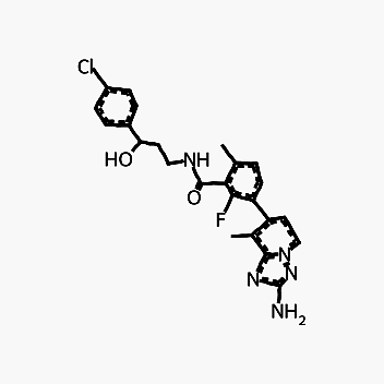 Cc1ccc(-c2ccn3nc(N)nc3c2C)c(F)c1C(=O)NCCC(O)c1ccc(Cl)cc1